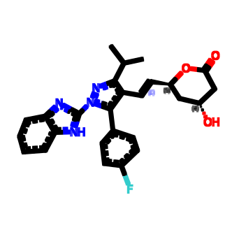 CC(C)c1nn(-c2nc3ccccc3[nH]2)c(-c2ccc(F)cc2)c1/C=C/[C@@H]1C[C@@H](O)CC(=O)O1